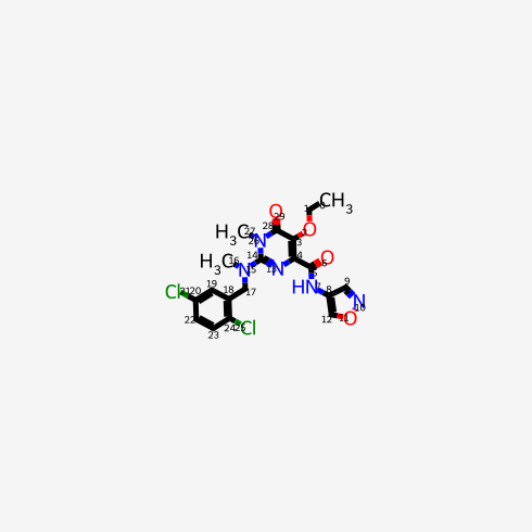 CCOc1c(C(=O)Nc2cnoc2)nc(N(C)Cc2cc(Cl)ccc2Cl)n(C)c1=O